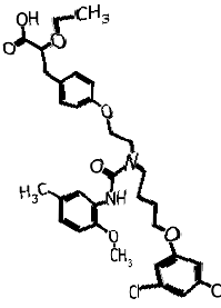 CCOC(Cc1ccc(OCCN(CCCCOc2cc(Cl)cc(Cl)c2)C(=O)Nc2cc(C)ccc2OC)cc1)C(=O)O